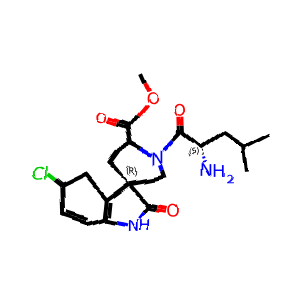 COC(=O)C1C[C@@]2(CN1C(=O)[C@@H](N)CC(C)C)C(=O)NC1=C2CC(Cl)C=C1